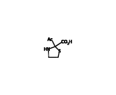 CC(=O)C1(C(=O)O)NCCS1